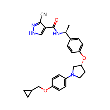 C[C@H](NC(=O)c1c[nH]nc1C#N)c1ccc(O[C@@H]2CCN(c3ccc(OCC4CC4)cc3)C2)cc1